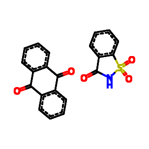 O=C1NS(=O)(=O)c2ccccc21.O=C1c2ccccc2C(=O)c2ccccc21